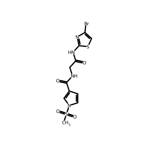 CS(=O)(=O)n1ccc(C(=O)NCC(=O)Nc2nc(Br)cs2)c1